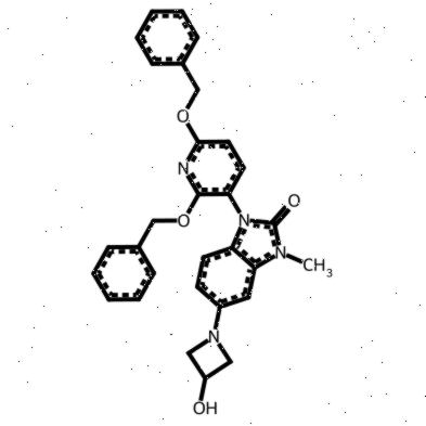 Cn1c(=O)n(-c2ccc(OCc3ccccc3)nc2OCc2ccccc2)c2ccc(N3CC(O)C3)cc21